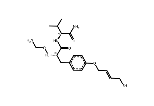 CC(C)[C@H](NC(=O)[C@@H](BOCN)Cc1ccc(OCC=CCS)cc1)C(N)=O